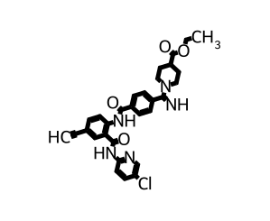 C#Cc1ccc(NC(=O)c2ccc(C(=N)N3CCC(C(=O)OCC)CC3)cc2)c(C(=O)Nc2ccc(Cl)cn2)c1